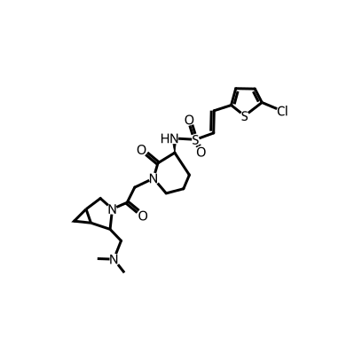 CN(C)CC1C2CC2CN1C(=O)CN1CCC[C@H](NS(=O)(=O)/C=C/c2ccc(Cl)s2)C1=O